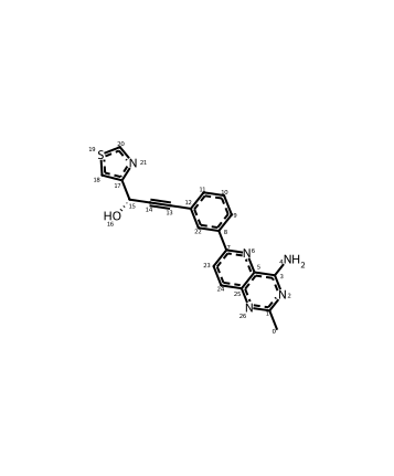 Cc1nc(N)c2nc(-c3cccc(C#C[C@H](O)c4cscn4)c3)ccc2n1